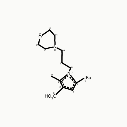 Cc1c(C(=O)O)cc(C(C)(C)C)n1CCCN1CCOCC1